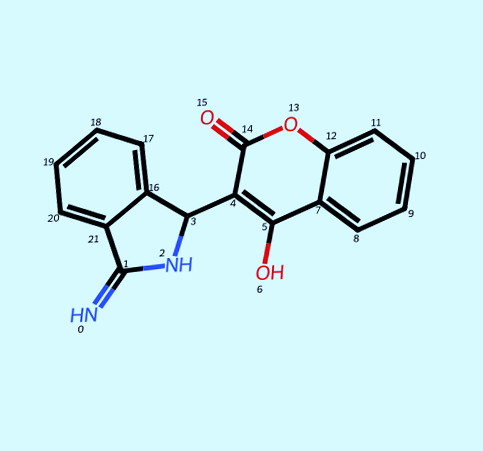 N=C1NC(c2c(O)c3ccccc3oc2=O)c2ccccc21